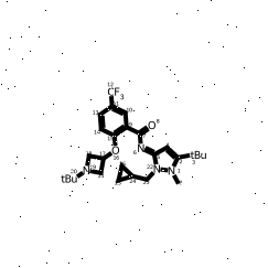 Cn1c(C(C)(C)C)c/c(=N\C(=O)c2cc(C(F)(F)F)ccc2OC2CN(C(C)(C)C)C2)n1CC1CC1